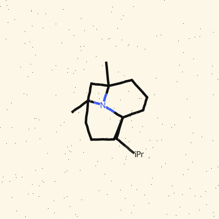 CC(C)CC12CCCC3(C)CC(C)(CCC1)N32